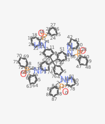 O=P(CNc1ccc(C(c2ccc(NCP(=O)(c3ccccc3)c3ccccc3)cc2)(c2ccc(NCP(=O)(c3ccccc3)c3ccccc3)cc2)c2ccc(NCP(=O)(c3ccccc3)c3ccccc3)cc2)cc1)(c1ccccc1)c1ccccc1